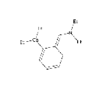 CCN(C=C1CC=CC=[C]1[Ga]([CH2]C)[CH2]C)CC